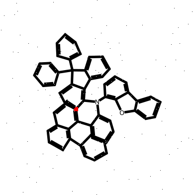 c1ccc(-c2cccc3cccc(-c4ccccc4N(c4cccc5c4-c4ccccc4C5(c4ccccc4)c4ccccc4)c4cccc5c4oc4ccccc45)c23)cc1